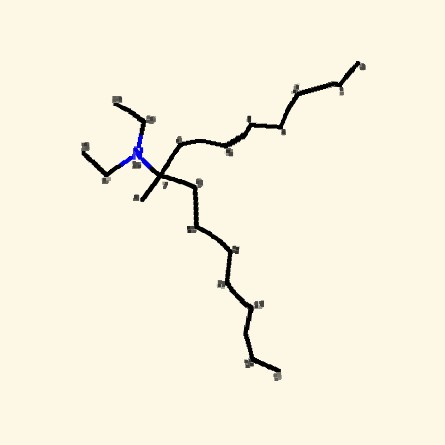 CCCCCCCC(C)(CCCCCCC)N(CC)CC